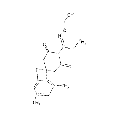 CCON=C(CC)C1C(=O)CC2(CC1=O)Cc1cc(C)cc(C)c12